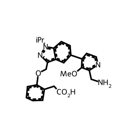 COc1c(-c2ccc3c(c2)c(COc2ccccc2CC(=O)O)nn3C(C)C)ccnc1CN